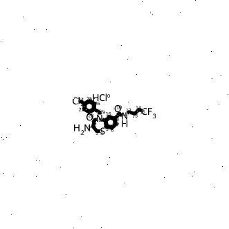 Cl.N[C@H]1CSc2ccc(C(=O)NCCCC(F)(F)F)cc2N(Cc2ccc(Cl)cc2)C1=O